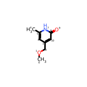 COCc1cc(C)[nH]c(=O)c1